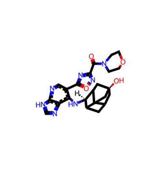 O=C(c1noc(-c2cnc3[nH]cnc3c2N[C@H]2C3CC4CC2C[C@@](O)(C4)C3)n1)N1CCOCC1